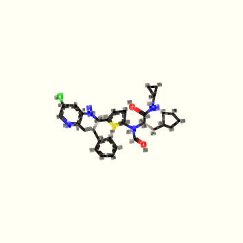 Cc1ncc(Cl)cc1N[C@@H](Cc1ccccc1)c1ccc(N(C=O)[C@@H](CC2CCCC2)C(=O)NC2CC2)s1